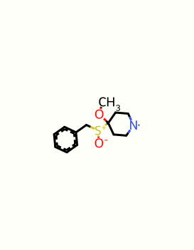 COC1([S+]([O-])Cc2ccccc2)CC[N]CC1